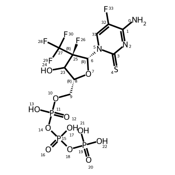 Nc1nc(=S)n([C@@H]2O[C@H](COP(=O)(O)OP(=O)(O)OP(=O)(O)O)C(O)[C@]2(F)C(F)(F)F)cc1F